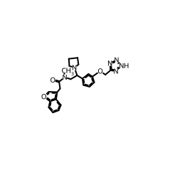 CN(CC(c1cccc(OCc2nn[nH]n2)c1)N1CCCC1)C(=O)Cc1coc2ccccc12